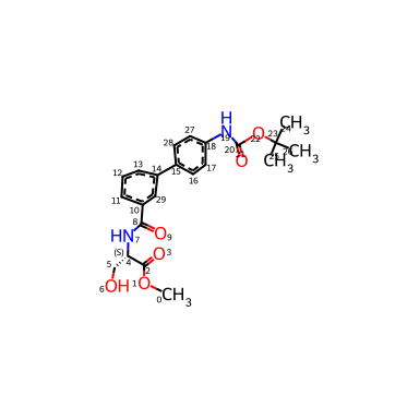 COC(=O)[C@H](CO)NC(=O)c1cccc(-c2ccc(NC(=O)OC(C)(C)C)cc2)c1